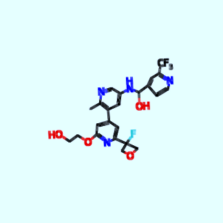 Cc1ncc(NC(O)c2ccnc(C(F)(F)F)c2)cc1-c1cc(OCCO)nc(C2(F)COC2)c1